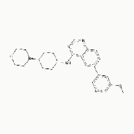 COc1cncc(-c2ccc3ncnc(N[C@H]4CC[C@H](N5CCOCC5)CC4)c3c2)c1